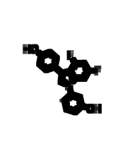 Oc1ccc(-c2cn(-c3[c]ccc(O)c3)c3cc(F)cc(F)c23)cc1